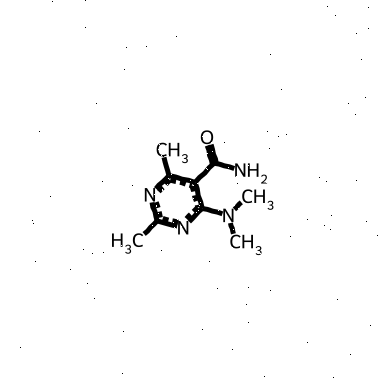 Cc1nc(C)c(C(N)=O)c(N(C)C)n1